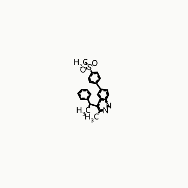 Cc1nnc2ccc(-c3ccc(S(C)(=O)=O)cc3)cc2c1C(C)c1ccccc1